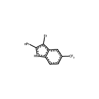 CCCc1[nH]c2ccc(C(F)(F)F)cc2c1CC